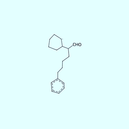 O=CC(CCCCc1ccccc1)C1[CH]CCCC1